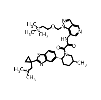 C[C@H]1CC[C@H](c2ccc3sc(C4(CN(C)C)CC4)nc3c2)N(C(=O)C(=O)Nc2cncc3cnn(COCC[Si](C)(C)C)c23)C1